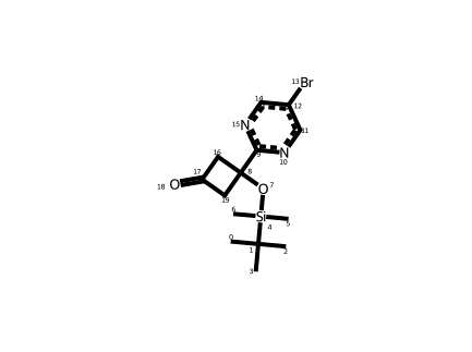 CC(C)(C)[Si](C)(C)OC1(c2ncc(Br)cn2)CC(=O)C1